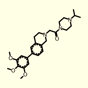 COc1cc(-c2ccc3c(c2)CCN(CC(=O)N2CCN(C(C)C)CC2)C3)cc(OC)c1OC